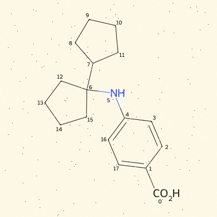 O=C(O)c1ccc(NC2(C3CCCC3)CCCC2)cc1